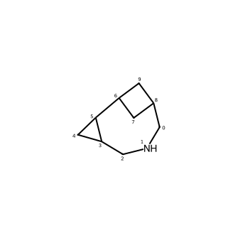 C1NCC2CC2C2CC1C2